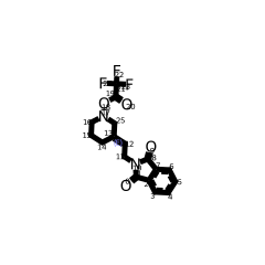 O=C1c2ccccc2C(=O)N1C/C=C1\CCCN(OC(=O)C(F)(F)F)C1